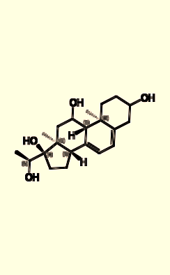 C[C@H](O)[C@@]1(O)CC[C@H]2C3=CC=C4CC(O)CC[C@]4(C)[C@H]3C(O)C[C@@]21C